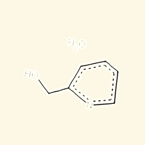 O.OCc1ccccn1